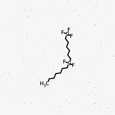 CCCCCCC[Si](F)(F)CCCCCC[Si](F)(F)F